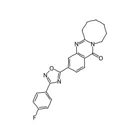 O=c1c2ccc(-c3nc(-c4ccc(F)cc4)no3)cc2nc2n1CCCCCC2